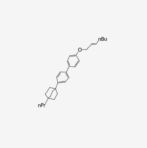 CCCCC=CCOc1ccc(-c2ccc(C34CCC(CCC)(CC3)CC4)cc2)cc1